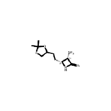 CC1(C)OCC(CC[C@H]2NC(=O)[C@H]2N)O1